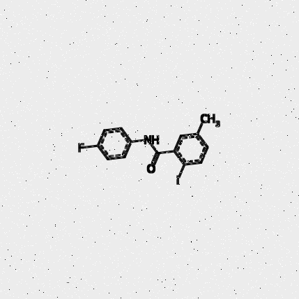 Cc1ccc(I)c(C(=O)Nc2ccc(F)cc2)c1